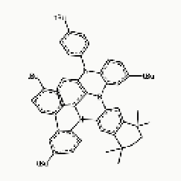 CC(C)(C)c1ccc(-c2cc(C(C)(C)C)ccc2N2c3cc4c(cc3B3c5cc(C(C)(C)C)ccc5N(c5ccc(C(C)(C)C)cc5)c5cccc2c53)C(C)(C)CCC4(C)C)cc1